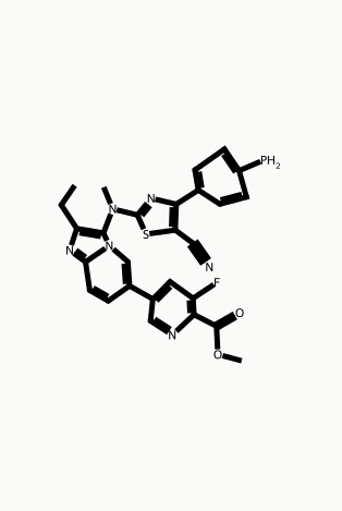 CCc1nc2ccc(-c3cnc(C(=O)OC)c(F)c3)cn2c1N(C)c1nc(-c2ccc(P)cc2)c(C#N)s1